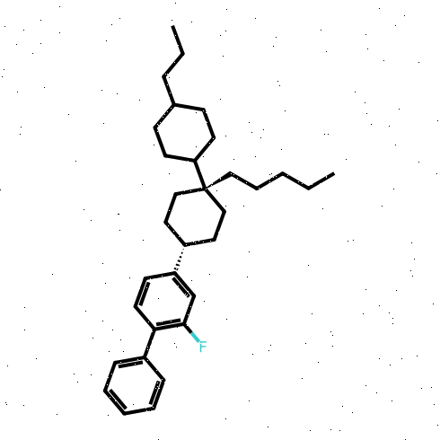 CCCCC[C@]1(C2CCC(CCC)CC2)CC[C@@H](c2ccc(-c3ccccc3)c(F)c2)CC1